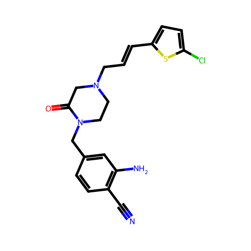 N#Cc1ccc(CN2CCN(CC=Cc3ccc(Cl)s3)CC2=O)cc1N